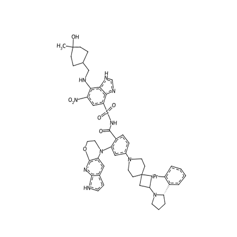 CC(C)c1ccccc1[C@@H]1CCCN1C1CC2(CCN(c3ccc(C(=O)NS(=O)(=O)c4cc([N+](=O)[O-])c(NCC5CCC(C)(O)CC5)c5[nH]cnc45)c(N4CCOc5nc6[nH]ccc6cc54)c3)CC2)C1